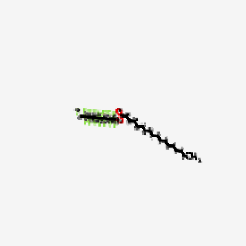 CCCCCCCCCCCCCCCCCC(=O)OC(F)(F)C(F)(F)C(F)(F)C(F)(F)C(F)(F)C(F)(F)C(F)(F)CF